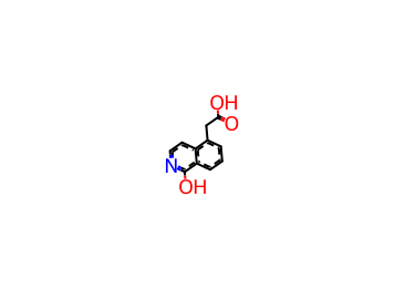 O=C(O)Cc1cccc2c(O)nccc12